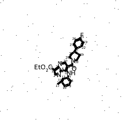 CCOC(=O)c1cnn2c(Nc3cccc(C)c3)c(C(=O)N3CCC(c4ccc(F)cc4)CC3)cnc12